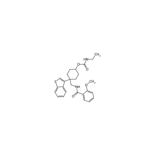 CCNC(=O)OC1CCC(CNC(=O)c2ccccc2OC)(c2csc3ccccc23)CC1